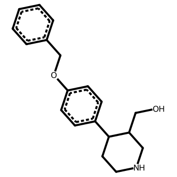 OCC1CNCCC1c1ccc(OCc2ccccc2)cc1